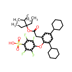 CCC(CC)(OC(=O)Cc1cc(C2CCCCC2)cc(C2CCCCC2)c1Oc1c(F)c(F)c(S(=O)(=O)O)c(F)c1F)C(C)C